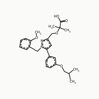 COc1ccccc1Cn1nc(COC(C)(C)C(=O)O)cc1-c1cccc(OCC(C)C)c1